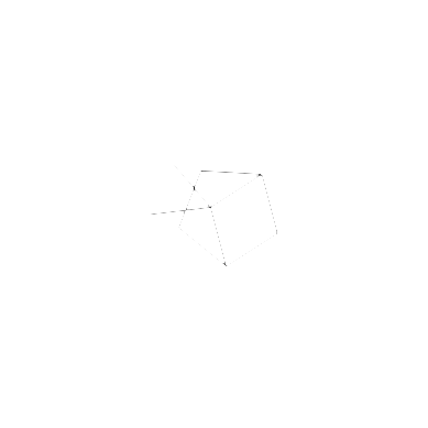 CC1(C)C2CCC1C2